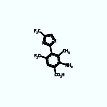 Cc1c(N)c(C(=O)O)cc(C(F)(F)F)c1-c1nc(C(F)(F)F)cs1